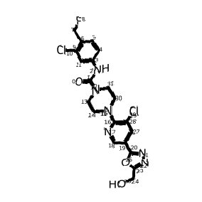 O=C(Nc1ccc(CF)c(Cl)c1)N1CCN(c2ncc(-c3nnc(CO)o3)cc2Cl)CC1